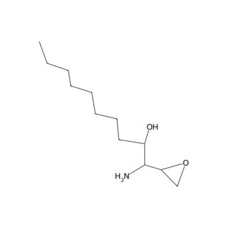 CCCCCCCCC(O)C(N)C1CO1